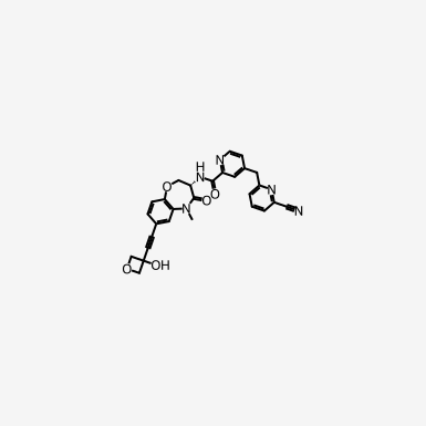 CN1C(=O)[C@@H](NC(=O)c2cc(Cc3cccc(C#N)n3)ccn2)COc2ccc(C#CC3(O)COC3)cc21